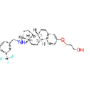 C[C@]12CC[C@@H]3c4ccc(OCCCO)cc4CC[C@H]3[C@@H]1CC[C@@H]2NCc1cccc(C(F)(F)F)c1